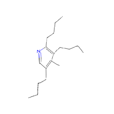 CCCCc1cnc(CCCC)c(CCCC)c1C